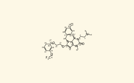 CN(C)CCn1c(=O)c2c(nc(OCCO[C@@]3(C)C=C(OC(F)(F)F)C=CC3)n2Cc2ccc(Cl)cc2)n(C)c1=O